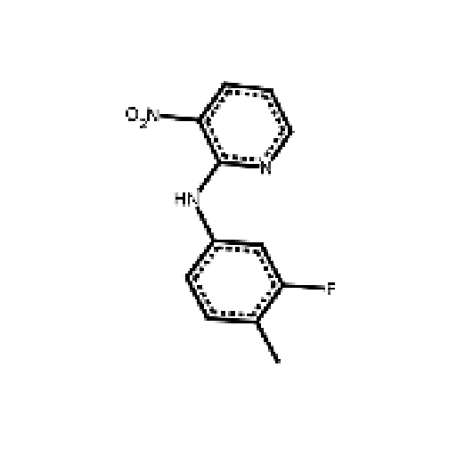 Cc1ccc(Nc2ncccc2[N+](=O)[O-])cc1F